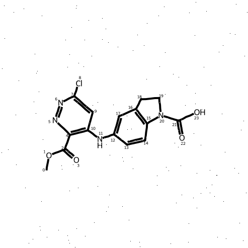 COC(=O)c1nnc(Cl)cc1Nc1ccc2c(c1)CCN2C(=O)O